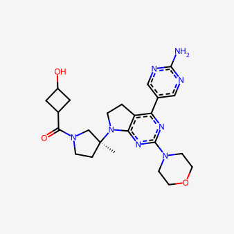 C[C@]1(N2CCc3c(-c4cnc(N)nc4)nc(N4CCOCC4)nc32)CCN(C(=O)C2CC(O)C2)C1